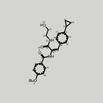 CC(C)COc1ccc(C(=O)N/C(=C/c2ccc(C3CC3)cc2)C(=O)NCCO)cc1